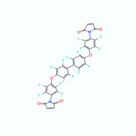 O=C1C=CC(=O)N1c1c(F)c(F)c(Oc2c(F)c(F)c(-c3c(F)c(F)c(Oc4c(F)c(F)c(N5C(=O)C=CC5=O)c(F)c4F)c(F)c3F)c(F)c2F)c(F)c1F